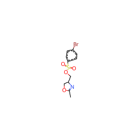 CC1=NC(COS(=O)(=O)c2ccc(Br)cc2)CO1